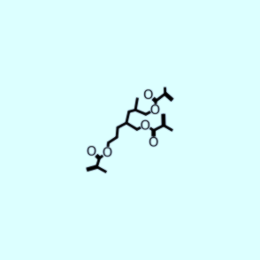 C=C(C)C(=O)OCCCC(COC(=O)C(=C)C)CC(C)COC(=O)C(=C)C